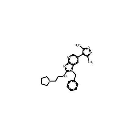 Cc1noc(C)c1-c1cnc2nc(NCCN3CCCC3)n(Cc3ccccc3)c2c1